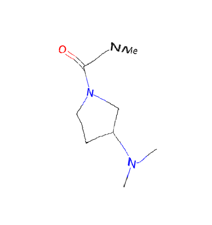 CNC(=O)N1CCC(N(C)C)C1